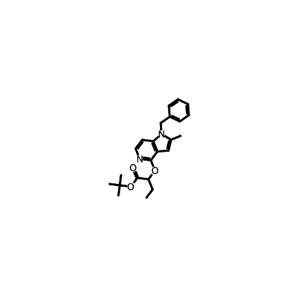 CCC(Oc1nccc2c1cc(C)n2Cc1ccccc1)C(=O)OC(C)(C)C